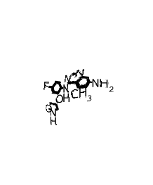 Cc1cc(N)cc2ncnc(Nc3ccc(F)cc3OC3CNOC3)c12